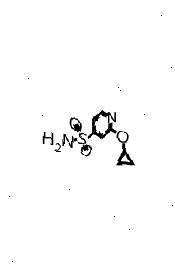 NS(=O)(=O)c1ccnc(OC2CC2)c1